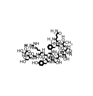 C[C@@H](O)[C@H](NC(=O)[C@H](CO)NC(=O)[C@H](CO)NC(=O)[C@@H](NC(=O)[C@H](Cc1ccccc1)NC(=O)[C@@H](N)CCC(N)=O)[C@@H](C)O)C(=O)N[C@@H](CO)C(=O)N[C@@H](Cc1ccc(O)cc1)C(=O)N[C@@H](CC(N)=O)C(=O)N[C@@H](CCCNC(=N)N)C(=O)NCC(=O)N[C@@H](CC(=O)O)C(=O)N[C@@H](CO)C(=O)O